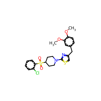 COc1ccc(Cc2csc(N3CCC(S(=O)(=O)c4ccccc4Cl)CC3)n2)cc1OC